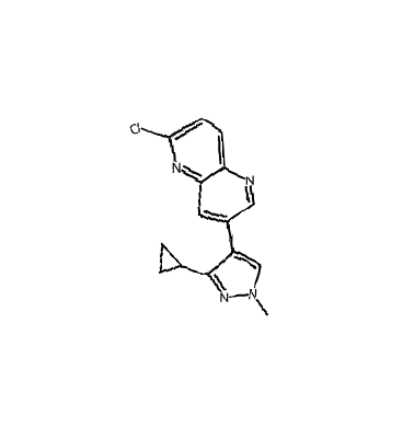 Cn1cc(-c2cnc3ccc(Cl)nc3c2)c(C2CC2)n1